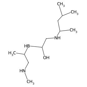 CNCC(C)BC(O)CNC(C)CC(C)C